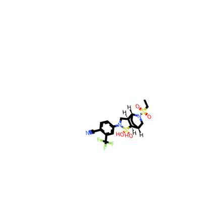 CCS(=O)(=O)N1C[C@H]2CC[C@@H]1[C@@H]1CN(c3ccc(C#N)c(C(F)(F)F)c3)S(O)(O)[C@H]21